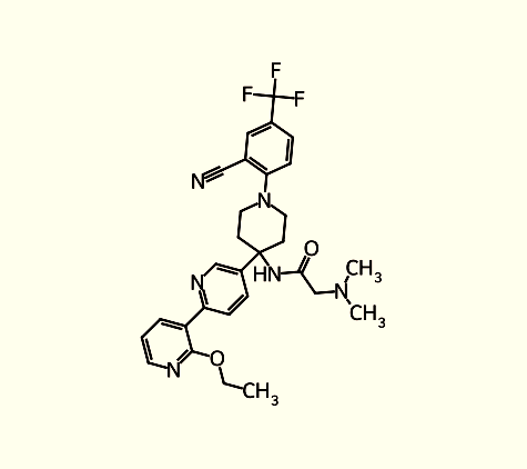 CCOc1ncccc1-c1ccc(C2(NC(=O)CN(C)C)CCN(c3ccc(C(F)(F)F)cc3C#N)CC2)cn1